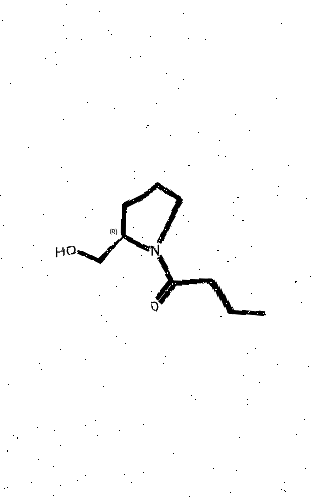 CCCC(=O)N1CCC[C@@H]1CO